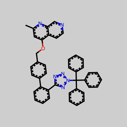 Cc1cc(OCc2ccc(-c3ccccc3-c3nnn(C(c4ccccc4)(c4ccccc4)c4ccccc4)n3)cc2)c2ccncc2n1